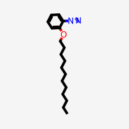 CCCCCCCCCCCCOc1ccccc1[N+]#N